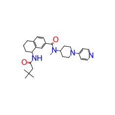 CN(C(=O)c1ccc2c(c1)C(NC(=O)CC(C)(C)C)CCC2)C1CCN(c2ccncc2)CC1